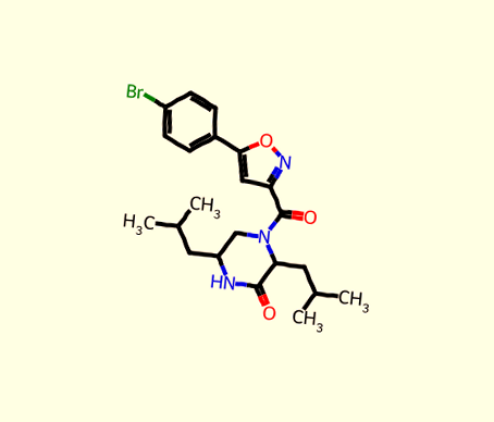 CC(C)CC1CN(C(=O)c2cc(-c3ccc(Br)cc3)on2)C(CC(C)C)C(=O)N1